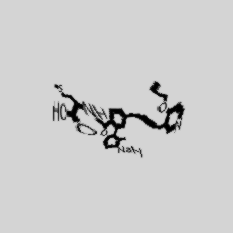 CCCOc1ccncc1C=Cc1ccc(C(=O)NC(CCSC)C(=O)O)c(-c2ccccc2C)c1.[NaH]